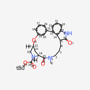 CN1CCCC2C(=O)Nc3cccc(c32)-c2cccc(c2)O[C@H]2C[C@@H](C1=O)N(C(=O)OC(C)(C)C)C2